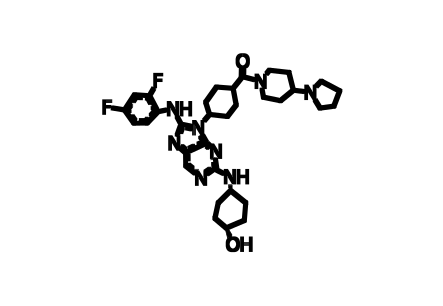 O=C(C1CCC(n2c(Nc3ccc(F)cc3F)nc3cnc(N[C@H]4CC[C@H](O)CC4)nc32)CC1)N1CCC(N2CCCC2)CC1